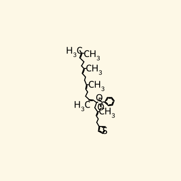 CC(C)=CCC/C(C)=C/CC/C(C)=C/CC/C(C)=C/C(C/C(C)=C/CCc1ccsc1)S(=O)(=O)c1ccccc1